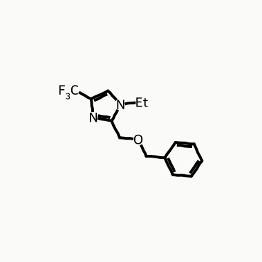 CCn1cc(C(F)(F)F)nc1COCc1ccccc1